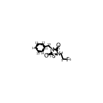 O=c1sn(CCF)c(=O)n1Cc1ccccc1